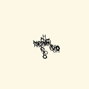 CCCC(NC(=O)[C@H](CC(C)C)NC(=O)[C@@H](NC(=O)OCC(C)C)C1CCN(C(=O)CC2CCCCC2)CC1)C(=O)C(=O)NCC(=O)N[C@H](C(=O)O)c1ccccc1